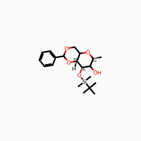 C[C@@H]1OC2COC(c3ccccc3)O[C@H]2[C@H](O[Si](C)(C)C(C)(C)C)C1O